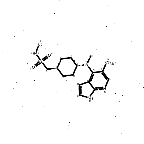 CCNS(=O)(=O)C[C@H]1CC[C@H](N(C)c2c(C(=O)OCC)cnc3[nH]ccc23)CC1